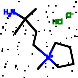 CC(C)(N)CC[N+]1(C)CCCC1.Cl.[Cl-]